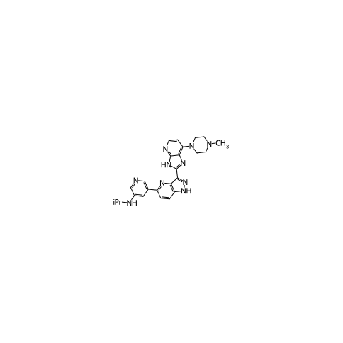 CC(C)Nc1cncc(-c2ccc3[nH]nc(-c4nc5c(N6CCN(C)CC6)ccnc5[nH]4)c3n2)c1